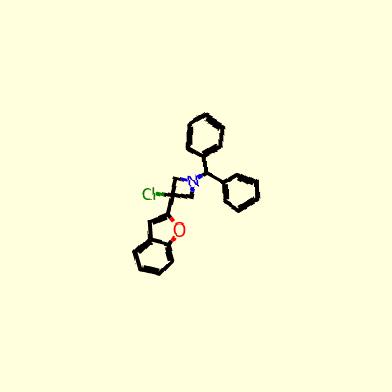 ClC1(c2cc3ccccc3o2)CN(C(c2ccccc2)c2ccccc2)C1